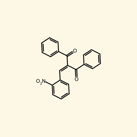 O=C(C(=Cc1ccccc1[N+](=O)[O-])C(=O)c1ccccc1)c1ccccc1